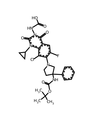 CC(C)(C)OC(=O)NC1(c2ccccc2)CCN(c2c(F)cc3c(=O)n(NC(=O)O)c(=O)n(C4CC4)c3c2Cl)C1